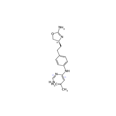 C=C(C)/C=C(\N=C/N)Nc1ccc(CC[C@H]2COC(N)=N2)cc1